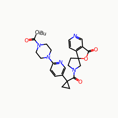 CC(C)COC(=O)N1CCN(c2ccc(C3(C(=O)N4CCC5(C4)OC(=O)c4cnccc45)CC3)cn2)CC1